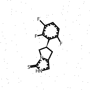 Fc1ccc(F)c([C@H]2Cc3c[nH]c(=S)n3C2)c1F